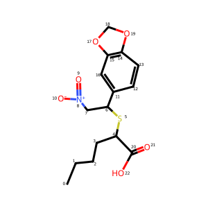 CCCCC(SC(C[N+](=O)[O-])c1ccc2c(c1)OCO2)C(=O)O